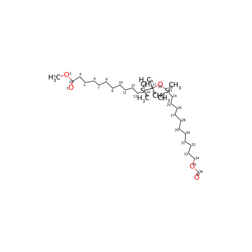 COC(=O)CCCCCCCCCC[Si](C)(C)C(C)(C)O[Si](C)(C)CCCCCCCCCCCOC=O